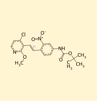 COc1nccc(Cl)c1/C=C/c1ccc(NC(=O)OC(C)(C)C)cc1[N+](=O)[O-]